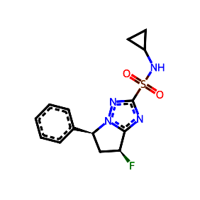 O=S(=O)(NC1CC1)c1nc2n(n1)[C@H](c1ccccc1)C[C@@H]2F